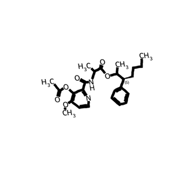 CCCC[C@@H](c1ccccc1)C(C)OC(=O)C(C)NC(=O)c1nccc(OC)c1OC(C)=O